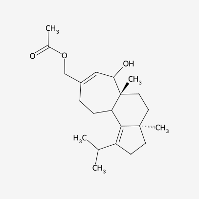 CC(=O)OCC1=CC(O)[C@]2(C)CC[C@@]3(C)CCC(C(C)C)=C3C2CC1